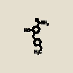 CCc1ccc(Cc2ccc(C(N)=O)cc2O)cc1